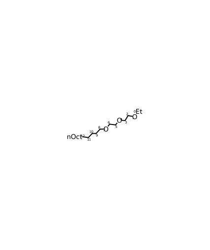 [CH2]COCCOCCOCCCCCCCCCCCC